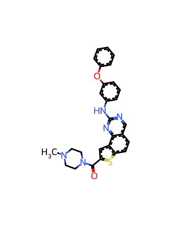 CN1CCN(C(=O)c2cc3c(ccc4cnc(Nc5cccc(Oc6ccccc6)c5)nc43)s2)CC1